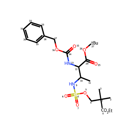 CCOC(=O)C(C)(C)COS(=O)(=O)NC(C)C(NC(=O)OCc1ccccc1)C(=O)OC(C)(C)C